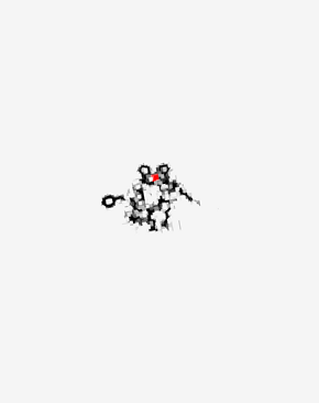 CC[C@H](C)[C@H](NC(=O)[C@H](C)N(C(=O)OCc1ccccc1)C(=O)[C@H](CC(=O)O)NC(=O)[C@@H](N)CC(C)C)C(=O)N1CCC[C@H]1C(=O)N1CCC[C@H]1C(=O)N[C@@H](CCCCN)C(=O)N[C@@H](CCCCN)C(=O)O